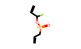 C=CC[PH](=O)OC(F)C=C